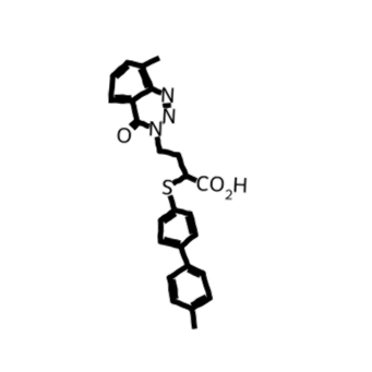 Cc1ccc(-c2ccc(SC(CCn3nnc4c(C)cccc4c3=O)C(=O)O)cc2)cc1